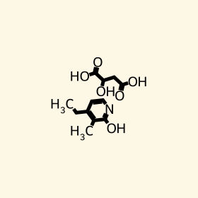 CCc1ccnc(O)c1C.O=C(O)CC(O)C(=O)O